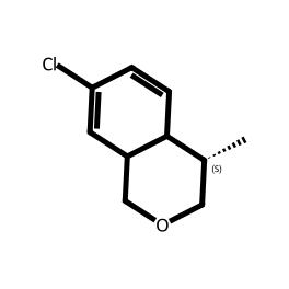 C[C@@H]1COCC2C=C(Cl)C=CC21